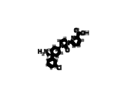 NC[C@]1(c2cccc(Cl)c2)CC[C@H](N2CCN(c3cccc(C(=O)O)n3)C2=O)CC1